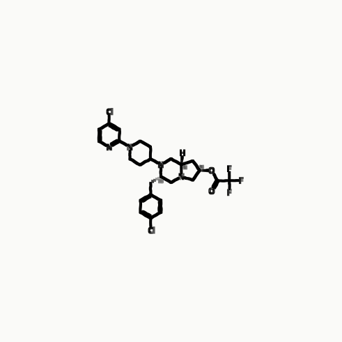 O=C(O[C@@H]1C[C@H]2CN(C3CCN(c4cc(Cl)ccn4)CC3)[C@@H](Cc3ccc(Cl)cc3)CN2C1)C(F)(F)F